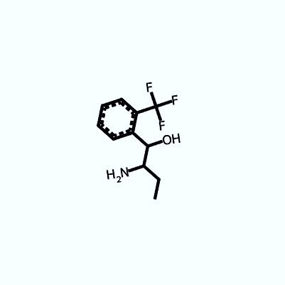 CCC(N)C(O)c1ccccc1C(F)(F)F